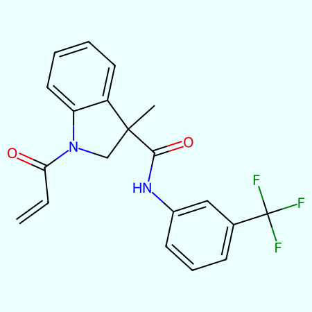 C=CC(=O)N1CC(C)(C(=O)Nc2cccc(C(F)(F)F)c2)c2ccccc21